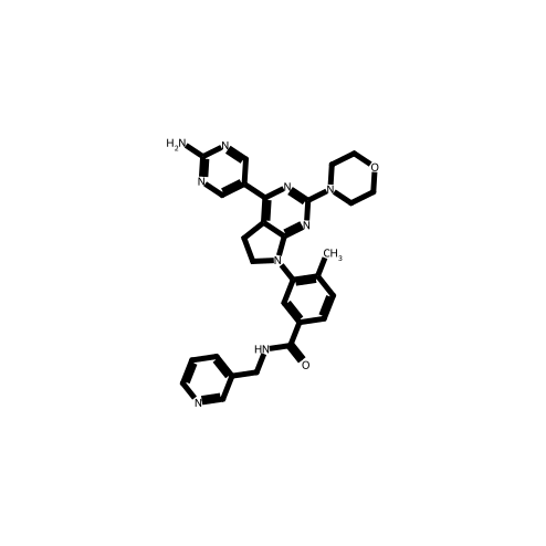 Cc1ccc(C(=O)NCc2cccnc2)cc1N1CCc2c(-c3cnc(N)nc3)nc(N3CCOCC3)nc21